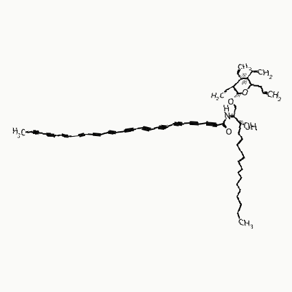 C=CCC1O[C@H](OC[C@H](NC(=O)C#CC#CC#CC#CC#CC#CC#CC#CC#CC#CC#CC#CC)[C@H](O)CCCCCCCCCCCCCC)C(C=C)[C@@H](C=C)[C@H]1C=C